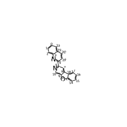 c1ccc2nc(-c3cc4c(cn3)oc3ccccc34)ccc2c1